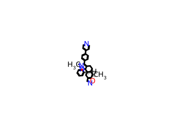 C[C@@H]1c2oncc2C[C@]2(c3ccccc3)c3nn(C)c(-c4ccc(-c5ccncc5)cc4)c3CC[C@@H]12